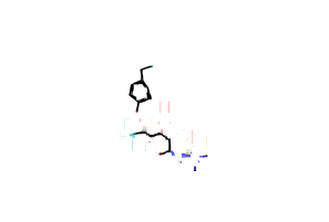 CN(C)/C(S)=N/[C@H]1CO[C@H]([C@@H](OCc2ccc(CCF)cc2)C(F)(F)F)[C@@H](O)[C@@H]1O